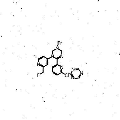 CC(C)N1CN=C(c2cccc(C(F)(F)F)n2)N(c2ccnc(CF)c2)C1.c1cncnc1